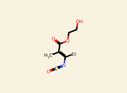 CCC(N=C=O)=C(C)C(=O)OCCO